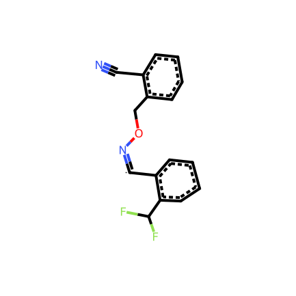 N#Cc1ccccc1CO/N=[C]\c1ccccc1C(F)F